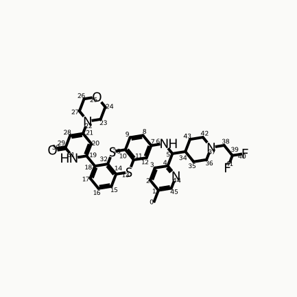 Cc1ccc(C(Nc2ccc3c(c2)Sc2cccc(-c4cc(N5CCOCC5)cc(=O)[nH]4)c2S3)C2CCN(CC(F)F)CC2)nc1